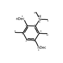 CCCCCCCCCCc1cc(C)c(CCCCCCCCCC)c([SiH](C)C)c1C